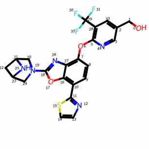 OCc1cnc(Oc2ccc(-c3nccs3)c3oc(N4CC5CC(C4)N5)nc23)c(C(F)(F)F)c1